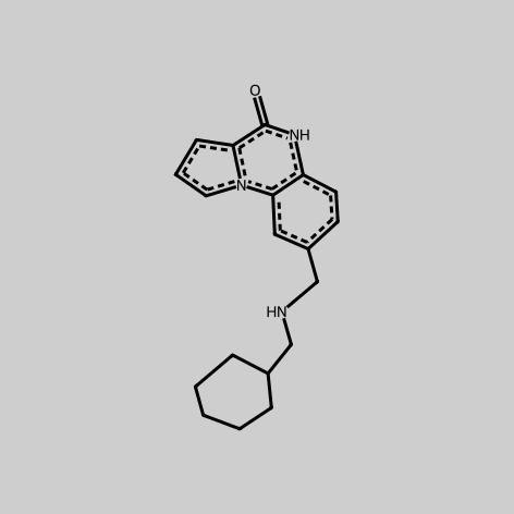 O=c1[nH]c2ccc(CNCC3CCCCC3)cc2n2cccc12